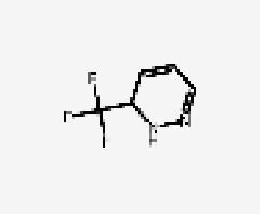 FC(F)(F)C1C=CC=NN1